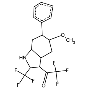 COC1CC2C(CC1c1ccccc1)NC(C(F)(F)F)C2C(=O)C(F)(F)F